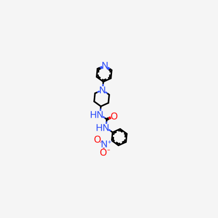 O=C(Nc1ccccc1[N+](=O)[O-])NC1CCN(c2ccncc2)CC1